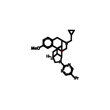 COc1ccc2c(c1)C13CCN(CC4CC4)C(C2)C12CCC1C3[C@@H](CN1c1ncc(C(C)C)cn1)C2